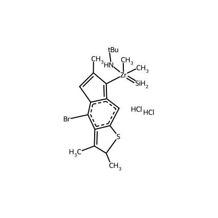 CC1=Cc2c(Br)c3c(cc2=[C]1[Zr]([CH3])([CH3])(=[SiH2])[NH]C(C)(C)C)SC(C)C=3C.Cl.Cl